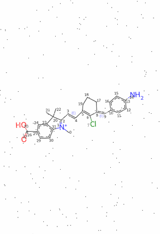 C[N+]1=C(/C=C/C2=C(Cl)C(=C/c3ccc(N)cc3)/CCC2)C(C)(C)c2cc(C(=O)O)ccc21